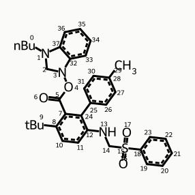 CCCCN1CN(OC(=O)c2c(C(C)(C)C)ccc(NCS(=O)(=O)c3ccccc3)c2-c2ccc(C)cc2)c2ccccc21